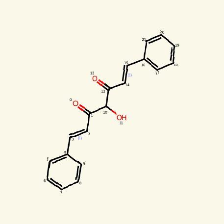 O=C(/C=C/c1ccccc1)C(O)C(=O)/C=C/c1ccccc1